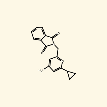 Cc1cc(CN2C(=O)c3ccccc3C2=O)nc(C2CC2)c1